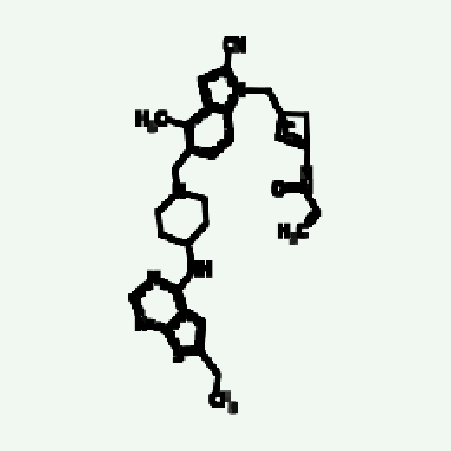 C=CC(=O)NC12CC(Cn3c(C#N)cc4c(C)c(CN5CCC(Nc6ncnc7sc(CC(F)(F)F)cc67)CC5)ccc43)(C1)C2